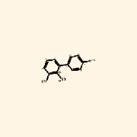 CC(C)c1cccc(-c2ccc(F)cc2)c1C(C)C